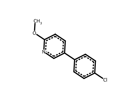 COc1[c]cc(-c2ccc(Cl)cc2)cn1